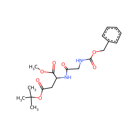 COC(=O)C(CC(=O)OC(C)(C)C)NC(=O)CNC(=O)OCc1ccccc1